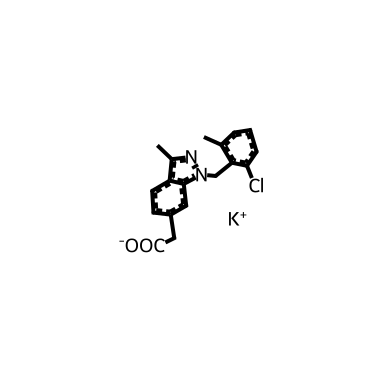 Cc1cccc(Cl)c1Cn1nc(C)c2ccc(CC(=O)[O-])cc21.[K+]